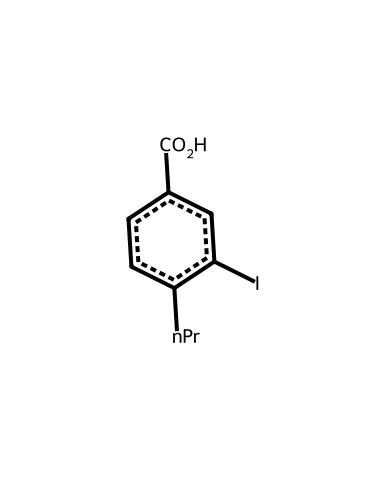 CCCc1ccc(C(=O)O)cc1I